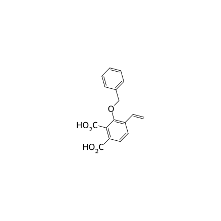 C=Cc1ccc(C(=O)O)c(C(=O)O)c1OCc1ccccc1